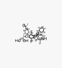 CC(=O)N1CCC(OCC(O)CO)(c2cc(F)c(CC3[C@H](C)NC[C@@H](c4ccccc4)S3(=O)=O)cc2F)CC1